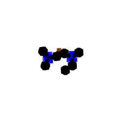 c1ccc(-c2cccc(-c3nc(-c4ccccc4)nc(-c4ccc5sc6cc(-c7nc(-c8ccccc8)nc(-c8ccccc8)n7)ccc6c5c4)n3)c2)cc1